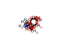 CC[C@H]1OC(=O)[C@H](C)[C@@H](O[C@H]2C[C@@](C)(CC)[C@@H](O)[C@H](C)O2)C[C@@H](O[C@@H]2O[C@H](C)C[C@H](N(C)C)[C@H]2O)[C@](C)(O)C[C@@H](C)C(=O)[C@H](C)[C@@H](O)[C@]1(C)O